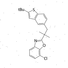 CC(C)(C)c1cc2cc(CC(C)(C)c3nc4cccc(Cl)c4o3)ccc2s1